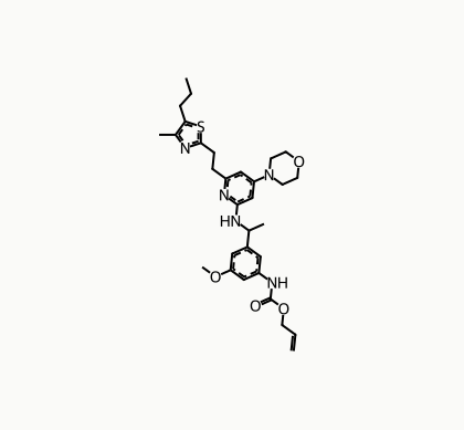 C=CCOC(=O)Nc1cc(OC)cc(C(C)Nc2cc(N3CCOCC3)cc(CCc3nc(C)c(CCC)s3)n2)c1